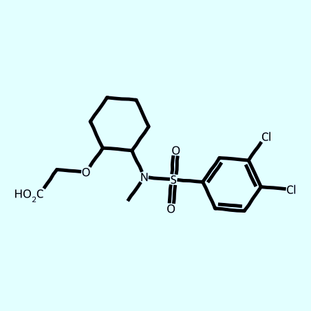 CN(C1CCCCC1OCC(=O)O)S(=O)(=O)c1ccc(Cl)c(Cl)c1